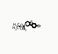 CC(C)(C)OC(=O)N1CCc2sc3cc(Br)ccc3c2C1